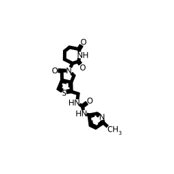 Cc1ccc(NC(=O)NCc2scc3c2CN(C2CCCC(=O)NC2=O)C3=O)cn1